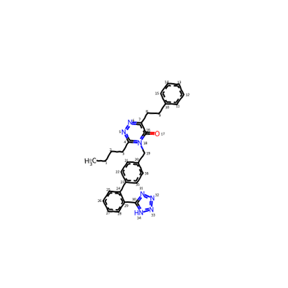 CCCCc1nnc(CCc2ccccc2)c(=O)n1Cc1ccc(-c2ccccc2-c2nnn[nH]2)cc1